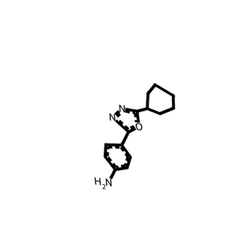 Nc1ccc(-c2nnc(C3CCCCC3)o2)cc1